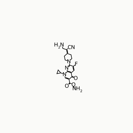 N#CC(CN)=C1CCN(c2nc3c(cc2F)c(=O)c(C(=O)ON)cn3C2CC2)CC1